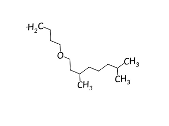 [CH2]CCCOCCC(C)CCCC(C)C